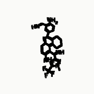 Cn1nc(C(=N)c2c(N)ccc3nc(-c4ccc(N)c(C=N)c4)c4c(c23)CCCC4)cc1C(F)(F)F